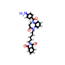 Nc1ccc(C(=O)N2CCC(=O)N(CCCCCCN3C(=O)c4ccccc4C3=O)c3ccccc32)cc1